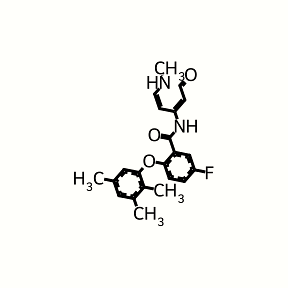 CN/C=C\C(=C/C=O)NC(=O)c1cc(F)ccc1Oc1cc(C)cc(C)c1C